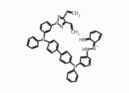 C=Cc1nn(-c2cccc(N(c3ccccc3)c3ccc(-c4ccc(N(c5ccccc5)c5cccc(N/N=C6/C=CC=CC6=N)c5)cc4)cc3)c2)nc1C=C